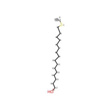 CC(C)(C)SCCCCCCCCCCCCCCCCO